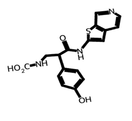 O=C(O)NCC(C(=O)Nc1cc2ccncc2s1)c1ccc(O)cc1